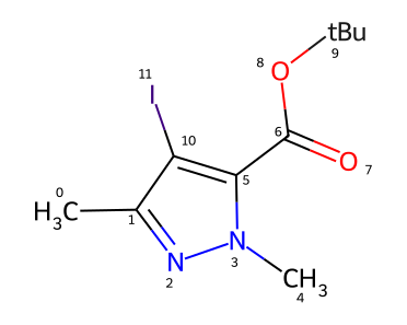 Cc1nn(C)c(C(=O)OC(C)(C)C)c1I